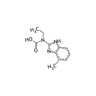 CCN(C(=O)O)c1nc2c(C)cccc2[nH]1